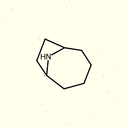 C1CCC2CC[C](C1)N2